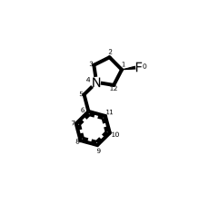 F[C@@H]1CCN(Cc2ccccc2)C1